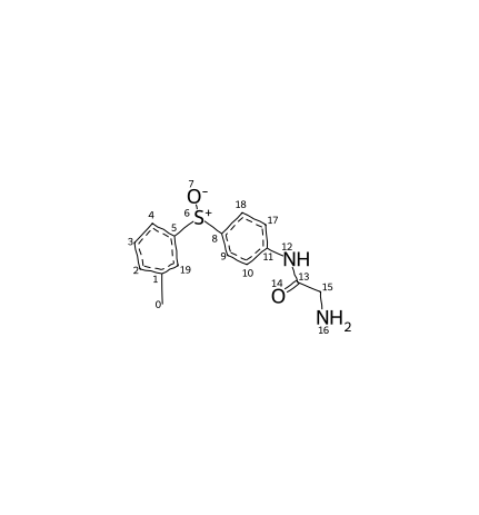 Cc1cccc([S+]([O-])c2ccc(NC(=O)CN)cc2)c1